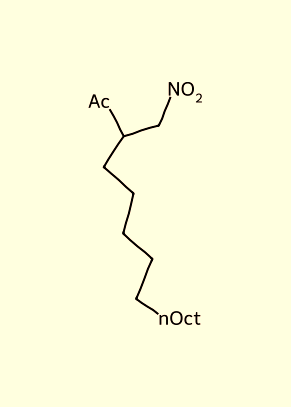 CCCCCCCCCCCCCC(C[N+](=O)[O-])C(C)=O